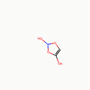 OC1=CON(O)O1